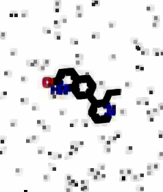 CCc1ncccc1-c1ccc2ccc(=O)[nH]c2c1